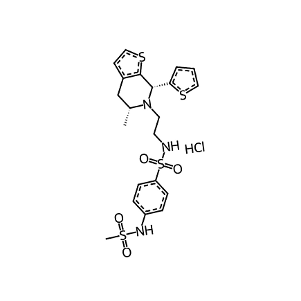 C[C@@H]1Cc2ccsc2[C@H](c2cccs2)N1CCNS(=O)(=O)c1ccc(NS(C)(=O)=O)cc1.Cl